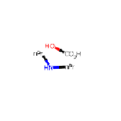 CCCNCCC.O=C(O)O